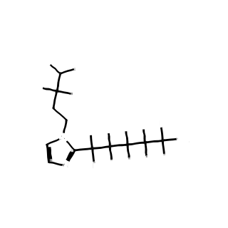 FC(F)C(F)(F)CCn1ccnc1C(F)(F)C(F)(F)C(F)(F)C(F)(F)C(F)(F)C(F)(F)F